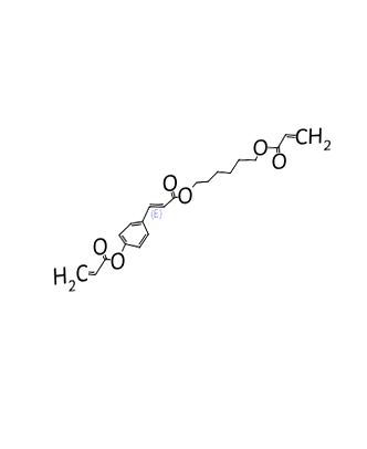 C=CC(=O)OCCCCCCOC(=O)/C=C/c1ccc(OC(=O)C=C)cc1